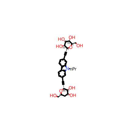 CCCn1c2cc(C#C[C@H]3O[C@H](CO)[C@@H](O)[C@H](O)[C@@H]3O)ccc2c2ccc(C#C[C@H]3O[C@H](CO)C[C@H](O)[C@@H]3O)cc21